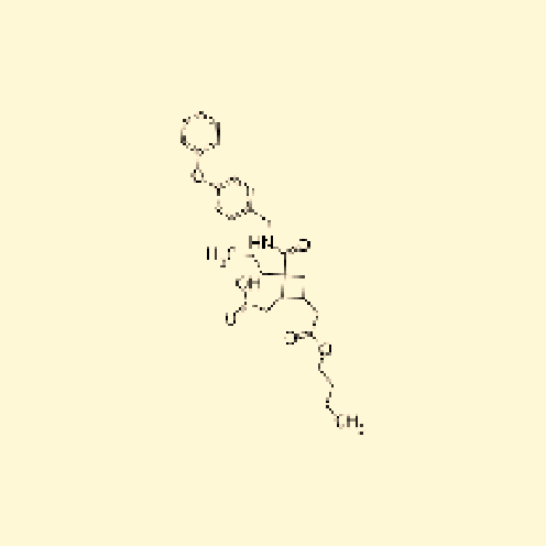 CCCCOC(=O)CC1CC(CCC)(C(=O)NCc2ccc(Oc3ccccc3)cc2)C1CC(=O)O